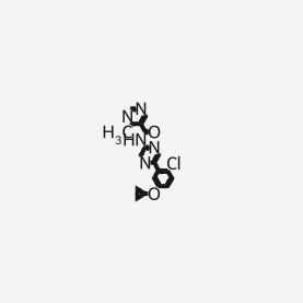 Cc1ncncc1C(=O)Nc1cnc(-c2cc(OC3CC3)ccc2Cl)cn1